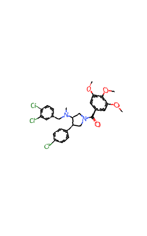 COc1cc(C(=O)N2CC(c3ccc(Cl)cc3)C(N(C)Cc3ccc(Cl)c(Cl)c3)C2)cc(OC)c1OC